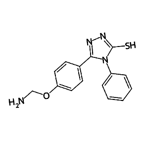 NCOc1ccc(-c2nnc(S)n2-c2ccccc2)cc1